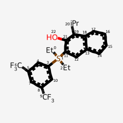 CCS(CC)(c1cc(C(F)(F)F)cc(C(F)(F)F)c1)c1cc2ccccc2c(C(C)C)c1O